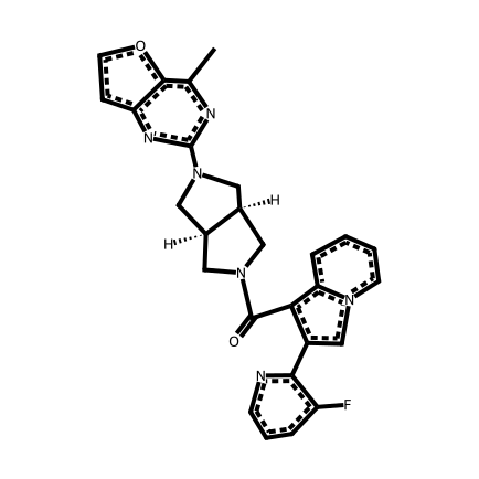 Cc1nc(N2C[C@H]3CN(C(=O)c4c(-c5ncccc5F)cn5ccccc45)C[C@H]3C2)nc2ccoc12